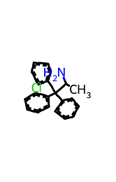 CC(N)C(c1ccccc1)(c1ccccc1)c1ccccc1Cl